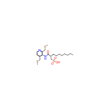 CCCCCCCC[C@@H](CS(=O)(=O)O)C(=O)Nc1c(CSC)ccnc1CSC